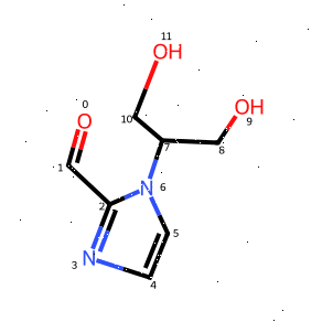 O=Cc1nccn1C(CO)CO